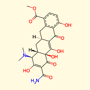 COC(=O)c1ccc(O)c2c1C[C@@H]1C[C@H]3[C@H](N(C)C)C(O)=C(C(N)=O)C(=O)[C@@]3(O)C(O)=C1C2=O